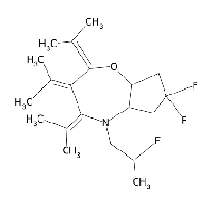 CC(C)=C1OC2CC(F)(F)CC2N(CC(C)F)C(=C(C)C)C1=C(C)C